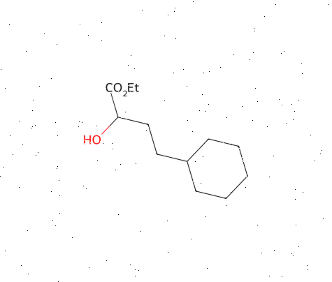 CCOC(=O)C(O)CCC1CCCCC1